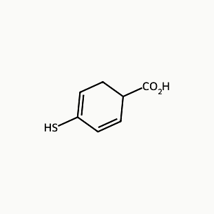 O=C(O)C1C=CC(S)=CC1